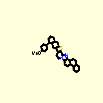 COc1ccc(-c2cccc3cc4sc5c(ccn6c7ccc8c9ccccc9ccc8c7nc56)c4cc23)cc1